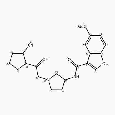 COc1ccc2occ(C(=O)NC3CCN(CC(=O)N4CCCC4C#N)C3)c2c1